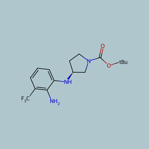 CC(C)(C)OC(=O)N1CC[C@H](Nc2cccc(C(F)(F)F)c2N)C1